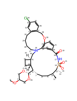 CO[C@H]1CO[C@H]([C@H]2CCC[C@H](C)[C@@H](C)S(=O)(=O)NC(=O)c3ccc4c(c3)N(CCCCc3cc(Cl)ccc3CO4)C[C@@H]3CC[C@H]32)OC1